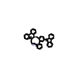 C1=C/[n+]2ccccc2-c2cc(-n3c4ccccc4c4ccccc43)ccc2CC2c3ccccc3-c3cccc[n+]3C2C/1